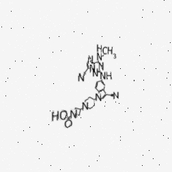 CCNc1nc(Nc2ccc3c(c2)c(C#N)cn3C2CCN(C3CN(C(=O)O)C3)CC2)nn2c(C#N)cnc12